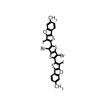 Cc1ccc2c(c1)oc1c(I)c(-c3sc4c(Br)c(-c5sc6c(oc7cc(C)ccc76)c5I)sc4c3Br)sc12